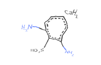 Nc1cccc(N)c1S(=O)(=O)O.[CaH2]